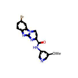 COc1cncc(NC(=O)c2ccn3c(n2)nc2ccc(Br)cc23)c1